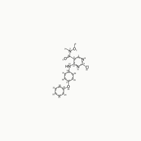 CON(C)C(=O)c1cnc(Cl)nc1Nc1ccc(Oc2ccccc2)cc1